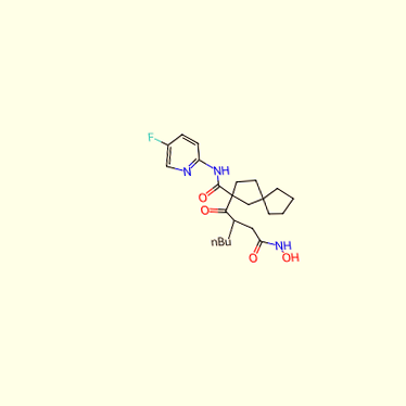 CCCCC(CC(=O)NO)C(=O)C1(C(=O)Nc2ccc(F)cn2)CCC2(CCCC2)C1